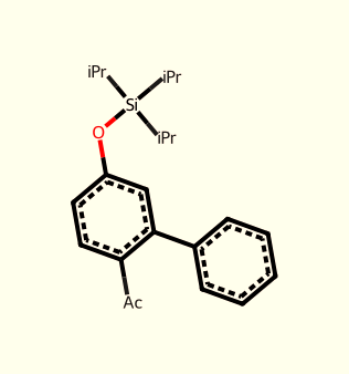 CC(=O)c1ccc(O[Si](C(C)C)(C(C)C)C(C)C)cc1-c1ccccc1